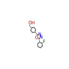 OCc1ccc(-c2nnc(-c3ccccc3F)o2)cc1